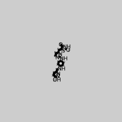 O=C1NC(=O)C(=Cc2ccnc(NC3CCC(NCc4ccc(O)nn4)CC3)n2)S1